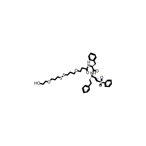 O=C(CCOCCCSSCCCOCCO)N[C@@H](Cc1ccccc1)C(=O)N[C@H](/C=C/S(=O)(=O)c1ccccc1)CCc1ccccc1